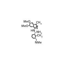 CNCc1cccc([C@@H](N)Nc2nnc(C)c3cc(OC)c(OC)cc23)c1C